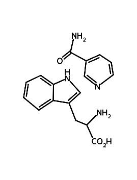 NC(=O)c1cccnc1.NC(Cc1c[nH]c2ccccc12)C(=O)O